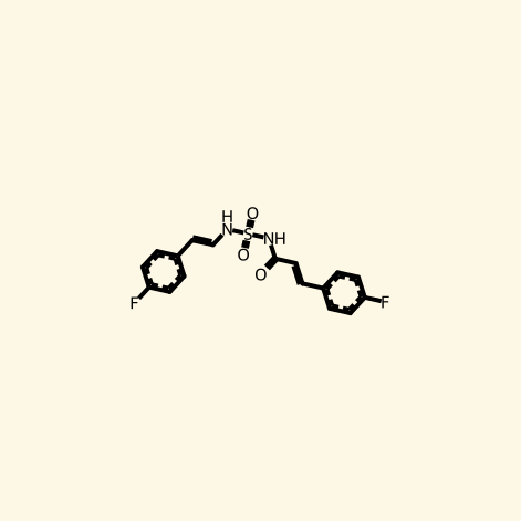 O=C(C=Cc1ccc(F)cc1)NS(=O)(=O)NC=Cc1ccc(F)cc1